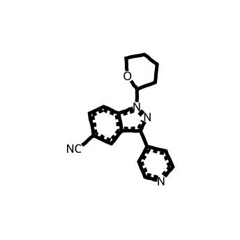 N#Cc1ccc2c(c1)c(-c1ccncc1)nn2C1CCCCO1